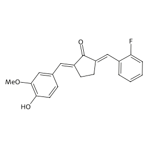 COc1cc(/C=C2\CC/C(=C\c3ccccc3F)C2=O)ccc1O